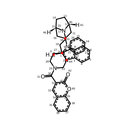 Cc1nc2ccccc2n1C1C[C@H]2CC[C@@H](C1)N2CCC1(c2ccccc2)CCN(C(=O)c2cc3ccccc3oc2=O)CC1